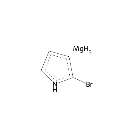 Brc1ccc[nH]1.[MgH2]